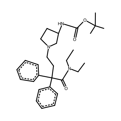 CCN(CC)C(=O)C(CCN1CCC(NC(=O)OC(C)(C)C)C1)(c1ccccc1)c1ccccc1